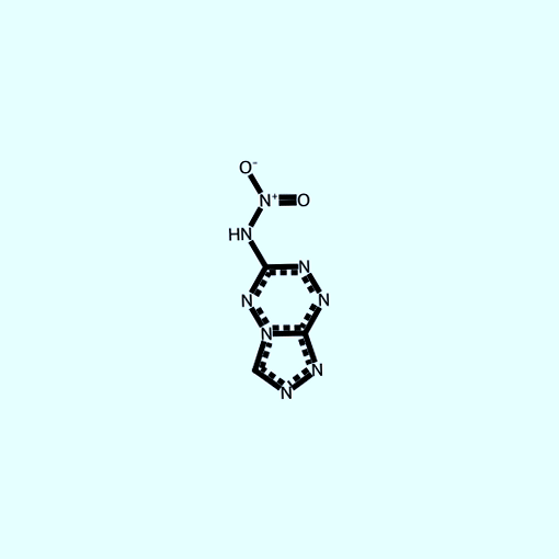 O=[N+]([O-])Nc1nnc2nncn2n1